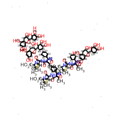 Cc1onc(-c2ccccc2)c1C(=O)N[C@@H]1C(=O)N2[C@@H]1SC(C)(C)[C@@H]2C(=O)O.Cc1onc(-c2ccccc2)c1C(=O)N[C@@H]1C(=O)N2[C@@H]1SC(C)(C)[C@@H]2C(=O)O.Cc1onc(-c2ccccc2)c1C(=O)N[C@@H]1C(=O)N2[C@@H]1SC(C)(C)[C@@H]2C(=O)O.Oc1cc(O)c2c(c1)O[C@H](c1ccc(O)c(O)c1)[C@@H](O)C2.Oc1cc(O)c2c(c1)O[C@H](c1ccc(O)c(O)c1)[C@@H](O)C2.Oc1cc(O)c2c(c1)O[C@H](c1ccc(O)c(O)c1)[C@@H](O)C2